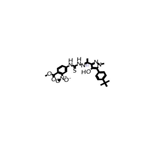 COC(=O)c1ccc(NC(=S)N/N=C(\C)c2nn(C)c(-c3ccc(C(C)(C)C)cc3)c2O)cc1[N+](=O)[O-]